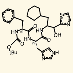 CC(C)(C)OC(=O)N[C@@H](Cc1ccccc1)C(=O)N[C@@H](Cc1c[nH]cn1)C(=O)NC(CC1CCCCC1)C(O)c1nccs1